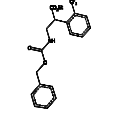 CCOC(=O)C(CNC(=O)OCc1ccccc1)c1ccccc1C(F)(F)F